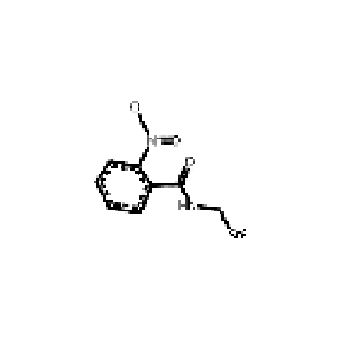 O=C(N[CH2][Sn])c1ccccc1[N+](=O)[O-]